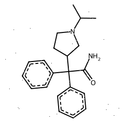 CC(C)N1CCC(C(C(N)=O)(c2ccccc2)c2ccccc2)C1